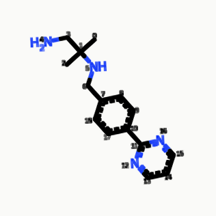 CC(C)(CN)NCc1ccc(-c2ncccn2)cc1